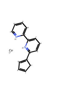 C1=CCC(c2cccc(-c3ccccn3)n2)=C1.[Co]